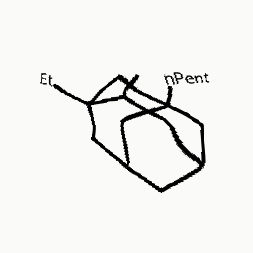 CCCCCC12CC3CC(C1)C(C)C(CC)(C3)C2